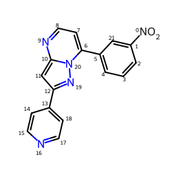 O=[N+]([O-])c1cccc(-c2ccnc3cc(-c4ccncc4)nn23)c1